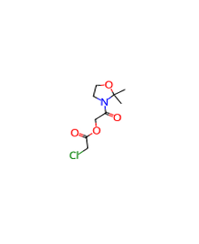 CC1(C)OCCN1C(=O)COC(=O)CCl